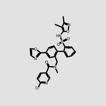 Cc1noc(NS(=O)(=O)c2ccccc2-c2ccc(-c3ncco3)cc2CN(C)C(=O)c2ccc(Cl)nc2)c1C